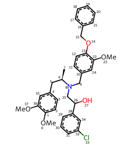 COc1ccc(C[C@@H](C)N(Cc2ccc(OCc3ccccc3)c(OC)c2)CC(O)c2cccc(Cl)c2)cc1OC